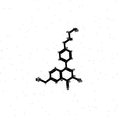 CCc1ccc2c(-c3ccc(CNSN)cc3)nn(C)c(=O)c2c1